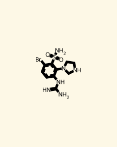 N=C(N)Nc1ccc(Br)c(S(N)(=O)=O)c1N1CCNC1